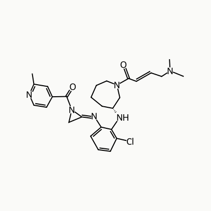 Cc1cc(C(=O)N2C/C2=N\c2cccc(Cl)c2N[C@@H]2CCCCN(C(=O)/C=C/CN(C)C)C2)ccn1